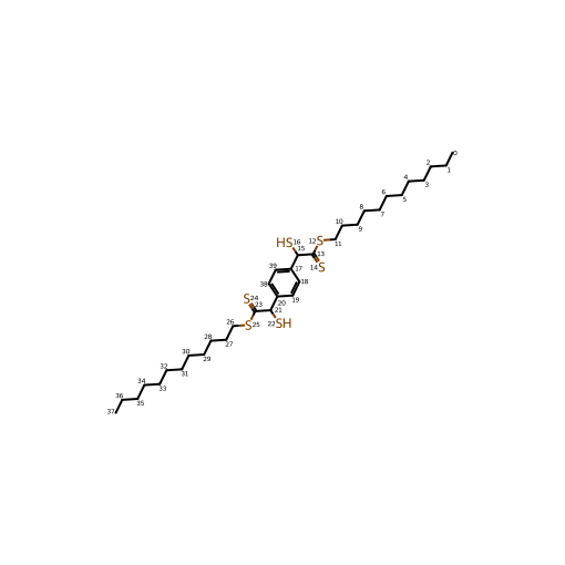 CCCCCCCCCCCCSC(=S)C(S)c1ccc(C(S)C(=S)SCCCCCCCCCCCC)cc1